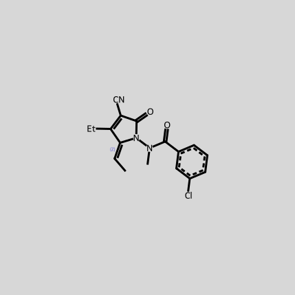 C/C=C1/C(CC)=C(C#N)C(=O)N1N(C)C(=O)c1cccc(Cl)c1